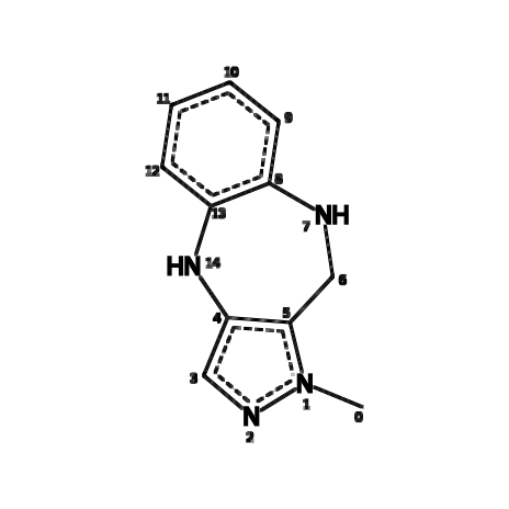 Cn1ncc2c1CNc1ccccc1N2